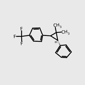 CC1(C)C(c2ccc(C(F)(F)F)cc2)[C@H]1c1ccccc1